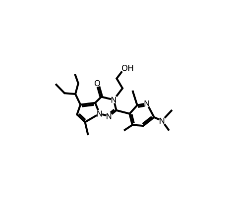 CCC(CC)c1cc(C)n2nc(-c3c(C)cc(N(C)C)nc3C)n(CCO)c(=O)c12